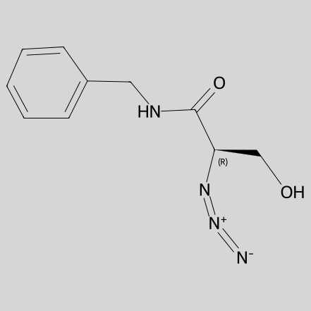 [N-]=[N+]=N[C@H](CO)C(=O)NCc1ccccc1